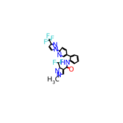 Cn1cc(C(=O)Nc2ccccc2-c2ccc(-n3ccc(C(F)(F)F)n3)nc2)c(C(F)F)n1